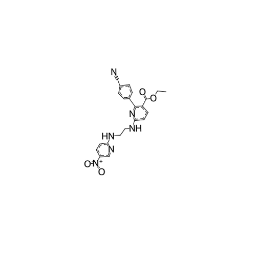 CCOC(=O)c1ccc(NCCNc2ccc([N+](=O)[O-])cn2)nc1-c1ccc(C#N)cc1